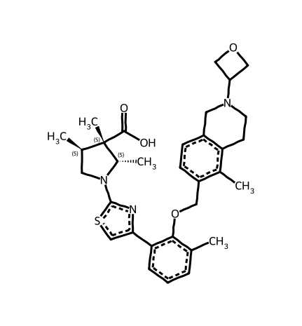 Cc1cccc(-c2csc(N3C[C@@H](C)[C@](C)(C(=O)O)[C@@H]3C)n2)c1OCc1ccc2c(c1C)CCN(C1COC1)C2